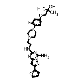 CC(C)(O)COc1ccc(N2CCN(CCNc3nc(N)n4nc(-c5ccco5)cc4n3)CC2)c(F)c1